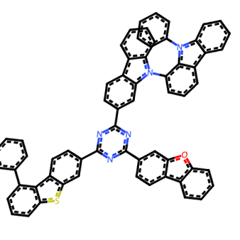 c1ccc(-c2cccc3sc4cc(-c5nc(-c6ccc7c(c6)oc6ccccc67)nc(-c6ccc7c8ccccc8n(-c8cccc9c%10ccccc%10n(-c%10ccccc%10)c89)c7c6)n5)ccc4c23)cc1